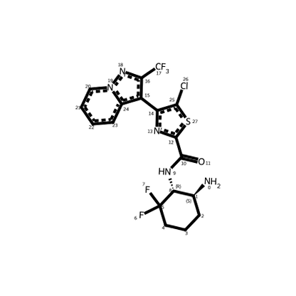 N[C@H]1CCCC(F)(F)[C@@H]1NC(=O)c1nc(-c2c(C(F)(F)F)nn3ccccc23)c(Cl)s1